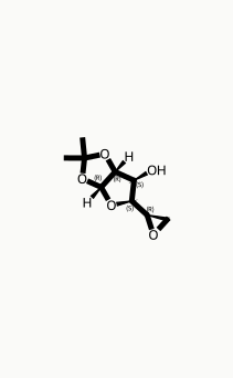 CC1(C)O[C@H]2O[C@H]([C@H]3CO3)[C@H](O)[C@H]2O1